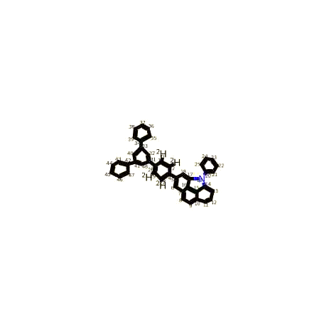 [2H]c1c([2H])c(-c2cc3ccc4cccc5c4c3c(c2)n5-c2ccccc2)c([2H])c([2H])c1-c1cc(-c2ccccc2)cc(-c2ccccc2)c1